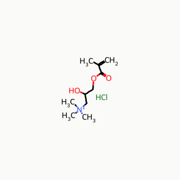 C=C(C)C(=O)OCC(O)C[N+](C)(C)C.Cl